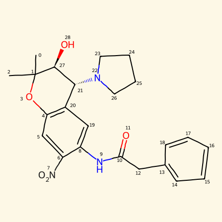 CC1(C)Oc2cc([N+](=O)[O-])c(NC(=O)Cc3ccccc3)cc2[C@@H](N2CCCC2)[C@@H]1O